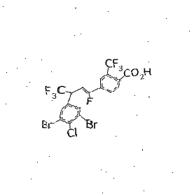 O=C(O)c1ccc(C(F)=CC(c2cc(Br)c(Cl)c(Br)c2)C(F)(F)F)cc1C(F)(F)F